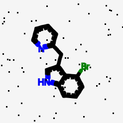 Brc1cccc2[nH]cc(Cc3ccccn3)c12